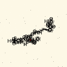 CC(C)(C)[C@H](NC(=O)c1cc2cc(C(F)(F)P(=O)(O)O)ccc2s1)C(=O)N1C[C@@H](OCC(=O)NCCCCCC#Cc2cccc3c2C(=O)N(C2CCC(=O)NC2=O)C3=O)C[C@H]1C(=O)N1CCO[C@H](c2ccccc2)C1